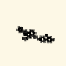 Nc1nc2c(OCCN3CCN(c4ccc(F)cc4F)CC3)cccc2c2cc(-c3ccco3)nn12